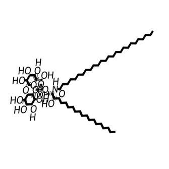 CCCCCCCCCCCCCCCCCCCCCCCCCC(=O)N[C@@H](COP(=O)(O)O[C@H]1C(O)C(O)C(O)[C@@H](O)C1O[C@H]1O[C@H](CO)[C@@H](O)C(O)C1O)[C@H](O)CCCCCCCCCCCCCCCCC